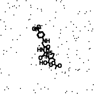 CC(=O)OCC1=C(C(=O)O)N2C(=O)C(NC(=O)CNc3ccc([N+](=O)[O-])cc3)[C@H]2SC1